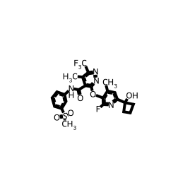 Cc1cc(C2(O)CCC2)nc(F)c1Oc1nnc(C(F)(F)F)c(C)c1C(=O)Nc1cccc(S(C)(=O)=O)c1